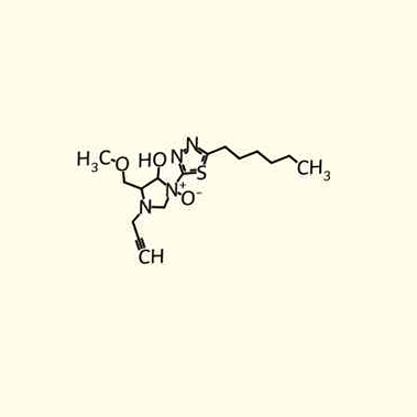 C#CCN1C[N+]([O-])(c2nnc(CCCCCC)s2)C(O)C1COC